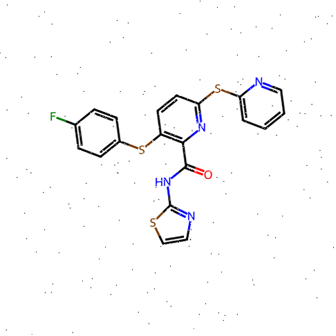 O=C(Nc1n[c]cs1)c1nc(Sc2ccccn2)ccc1Sc1ccc(F)cc1